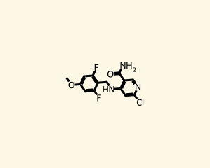 COc1cc(F)c(CNc2cc(Cl)ncc2C(N)=O)c(F)c1